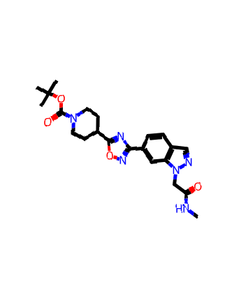 CNC(=O)Cn1ncc2ccc(-c3noc(C4CCN(C(=O)OC(C)(C)C)CC4)n3)cc21